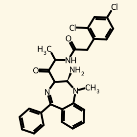 CC(NC(=O)Cc1ccc(Cl)cc1Cl)C(=O)C1N=C(c2ccccc2)c2ccccc2N(C)[C@@H]1N